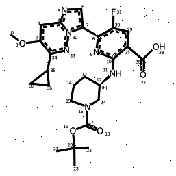 COc1cc2ncc(-c3nc(N[C@@H]4CCCN(C(=O)OC(C)(C)C)C4)c(C(=O)O)cc3F)n2nc1C1CC1